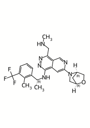 CNCc1nnc(N[C@H](C)c2cccc(C(F)(F)F)c2C)c2cc(N3C[C@H]4C[C@@H]3CO4)ncc12